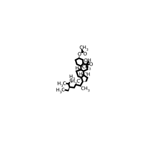 CC[C@H](CC[C@@H](C)[C@H]1CC[C@H]2[C@@H]3CC4(CO4)[C@]4(O)C[C@@H](OC(C)=O)CC[C@]4(C)[C@H]3CC[C@]12C)C(C)C